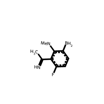 Bc1ccc(F)c(C(C)=N)c1NC